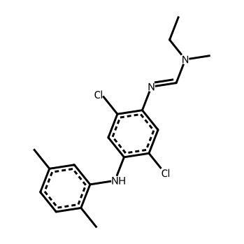 CCN(C)C=Nc1cc(Cl)c(Nc2cc(C)ccc2C)cc1Cl